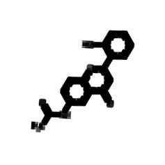 CC(=O)Nc1ccc2oc(-c3ccccc3O)cc(=O)c2c1